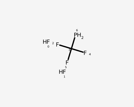 F.F.FC(F)(F)P